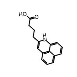 O=C(O)CCCC1=Cc2cccc3cccc(c23)N1